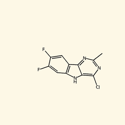 Cc1nc(Cl)c2[nH]c3cc(F)c(F)cc3c2n1